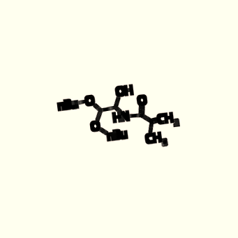 C=C(C)C(=O)NC(O)C(OCCCC)OCCCC